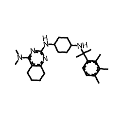 Cc1ccc(C(C)(C)NC2CCC(Nc3nc4c(c(N(C)C)n3)CCCC4)CC2)c(C)c1C